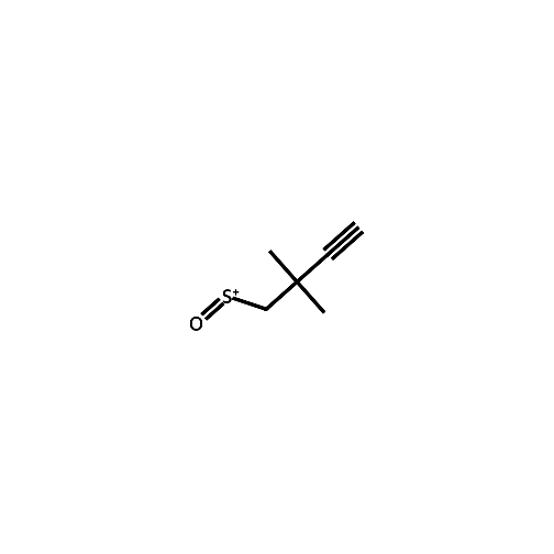 C#CC(C)(C)C[S+]=O